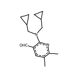 Cc1cc(C=O)c(N(CC2CC2)CC2CC2)nc1C